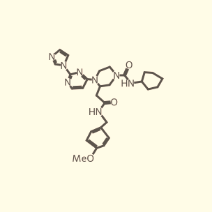 COc1ccc(CNC(=O)CC2CN(C(=O)NC3CCCCC3)CCN2c2ccnc(-n3ccnc3)n2)cc1